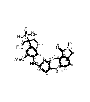 COc1cc(C(CC(F)(F)F)(CC(F)(F)F)P(=O)(O)O)ccc1Nc1ncc(C(F)(F)F)c(Nc2cccc3c2C(=O)N(C)C3)n1